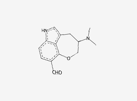 CN(C)C1COc2c(C=O)ccc3[nH]cc(c23)C1